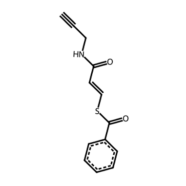 C#CCNC(=O)C=CSC(=O)c1ccccc1